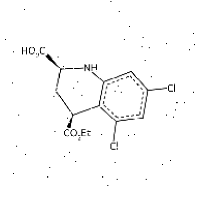 CCOC(=O)[C@H]1C[C@@H](C(=O)O)Nc2cc(Cl)cc(Cl)c21